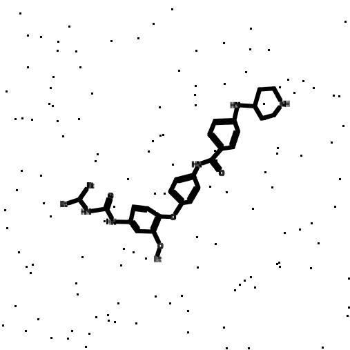 CCOc1cc(NC(=O)NC(CC)CC)ccc1Oc1ccc(NC(=O)c2ccc(NC3CCNCC3)cc2)cc1